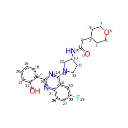 O=C(CC1CCOCC1)NC1CCN(c2nc(-c3ccccc3O)nc3ccc(F)cc23)C1